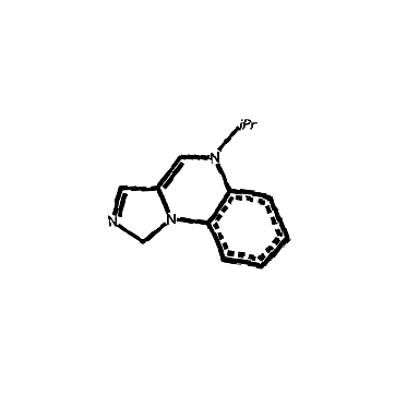 CC(C)N1C=C2C=NCN2c2ccccc21